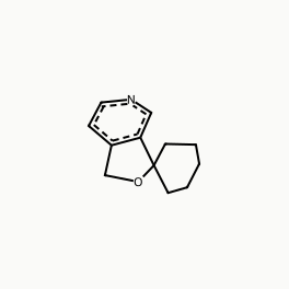 c1cc2c(cn1)C1(CCCCC1)OC2